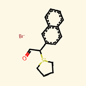 O=CC(c1ccc2ccccc2c1)[S+]1CCCC1.[Br-]